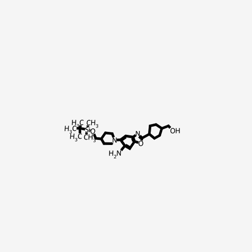 CC(C)(C)[Si](C)(C)OCC1CCN(c2cc3nc(C4CCC(CO)CC4)oc3cc2N)CC1